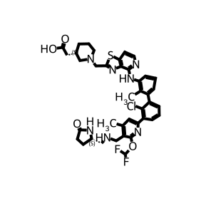 Cc1cc(-c2cccc(-c3cccc(Nc4nccc5sc(CN6CCC[C@@H](CC(=O)O)C6)nc45)c3C)c2Cl)nc(OC(F)F)c1CNC[C@@H]1CCC(=O)N1